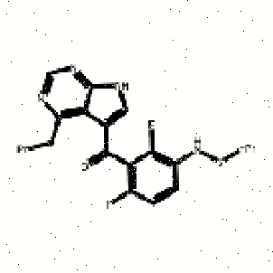 CCCSNc1ccc(F)c(C(=O)c2c[nH]c3ncnc(CC(C)C)c23)c1F